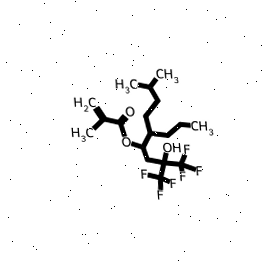 C=C(C)C(=O)OC(CC(O)(C(F)(F)F)C(F)(F)F)C(CCC)CCC(C)C